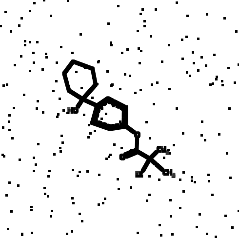 CCC(C)(C)C(=O)Oc1ccc(C2(O)CCCCC2)cc1